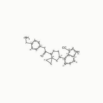 NCc1ccc(CC(=O)N2CCN(c3ncnc4[nH]cc(Cl)c34)CC23CC3)cc1